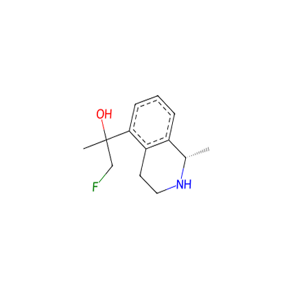 C[C@@H]1NCCc2c1cccc2C(C)(O)CF